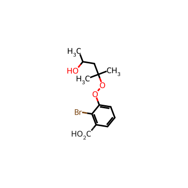 CC(O)CC(C)(C)OOc1cccc(C(=O)O)c1Br